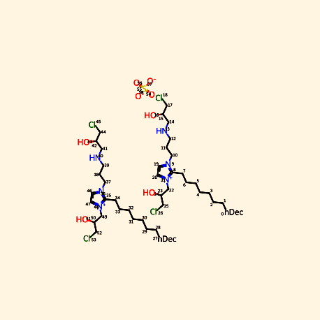 CCCCCCCCCCCCCCCCCc1n(CCCNCC(O)CCl)cc[n+]1CC(O)CCl.CCCCCCCCCCCCCCCCCc1n(CCCNCC(O)CCl)cc[n+]1CC(O)CCl.O=S(=O)([O-])[O-]